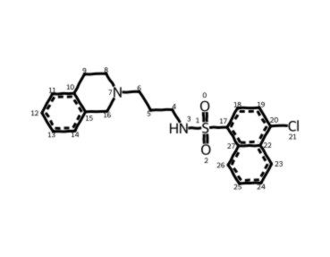 O=S(=O)(NCCCN1CCc2ccccc2C1)c1ccc(Cl)c2ccccc12